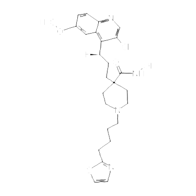 COc1ccc2ncc(Cl)c([C@H](F)CCC3(C(=O)NO)CCN(CCCCc4nccs4)CC3)c2c1